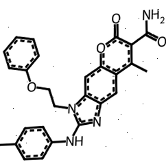 Cc1c(C(N)=O)c(=O)oc2cc3c(cc12)nc(Nc1ccc(I)cc1)n3CCOc1ccccc1